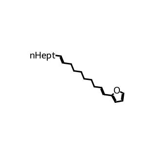 CCCCCCC/C=C/CCCCCC/C=C/c1ccco1